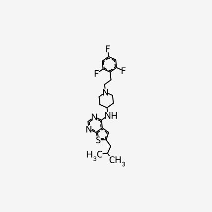 CC(C)Cc1cc2c(NC3CCN(CCc4c(F)cc(F)cc4F)CC3)ncnc2s1